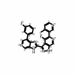 Cc1ccncc1-c1ncc2[nH]nc(-c3nc4c(-c5cccc(F)c5)cncc4[nH]3)c2c1F